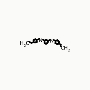 C=CCc1ccc(C=NCc2cccc(CN=Cc3ccc(CC=C)cc3)c2)cc1